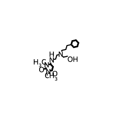 Cn1c(NCCN(CCO)CCCc2ccccc2)cc(=O)n(C)c1=O